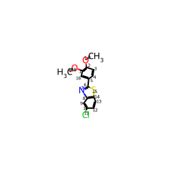 COc1ccc(-c2nc3cc(Cl)ccc3s2)cc1OC